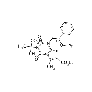 CCOC(=O)c1sc2c(c1C)c(=O)n(C(C)(C)C(=O)O)c(=O)n2C[C@H](OC(C)C)c1ccccc1